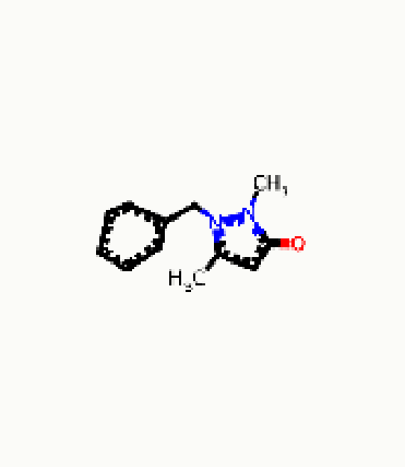 Cc1cc(=O)n(C)n1Cc1ccccc1